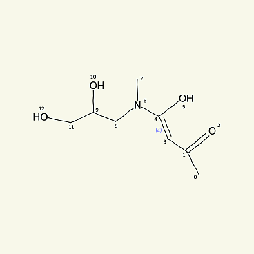 CC(=O)/C=C(\O)N(C)CC(O)CO